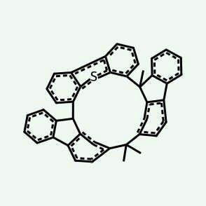 CC1(C)c2ccc3c(c2)C(c2ccccc2-3)c2cccc3c2sc2c(cccc23)C2(C)c3ccccc3-c3ccc1cc32